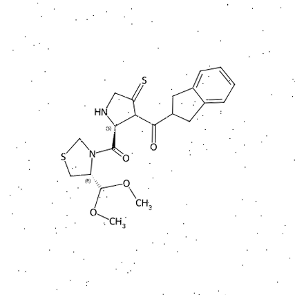 COC(OC)[C@@H]1CSCN1C(=O)[C@H]1NCC(=S)C1C(=O)C1Cc2ccccc2C1